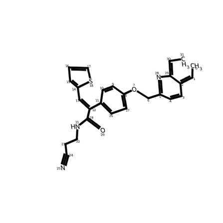 C/C=c1/ccc(COc2ccc(/C(=C\c3cccs3)C(=O)NCCC#N)cc2)n/c1=C/C